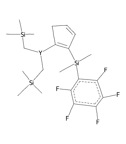 C[Si](C)(C)[CH2][Y]([CH2][Si](C)(C)C)[C]1=C([Si](C)(C)c2c(F)c(F)c(F)c(F)c2F)C=CC1